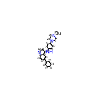 CCC(C)N1CCN(c2ccc(Nc3ccnc4ccc(-c5ccccc5)cc34)cc2)CC1